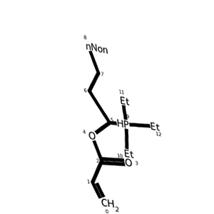 C=CC(=O)OC(CCCCCCCCCCC)[PH](CC)(CC)CC